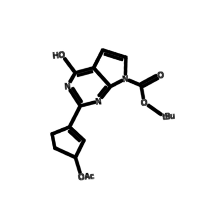 CC(=O)OC1C=C(c2nc(O)c3ccn(C(=O)OC(C)(C)C)c3n2)CC1